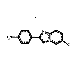 Nc1ccc(-c2cn3cc(Cl)ccc3n2)cc1